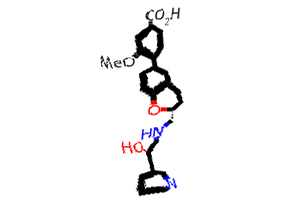 COc1cc(C(=O)O)ccc1-c1ccc2c(c1)CC[C@H](CNC[C@@H](O)c1cccnc1)O2